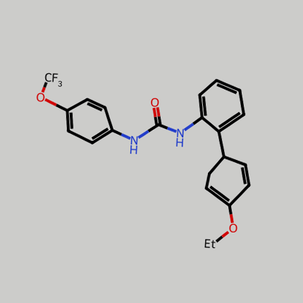 CCOC1=CCC(c2ccccc2NC(=O)Nc2ccc(OC(F)(F)F)cc2)C=C1